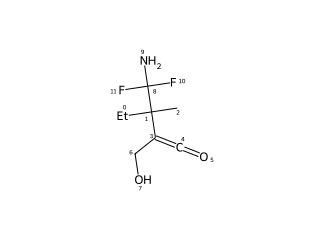 CCC(C)(C(=C=O)CO)C(N)(F)F